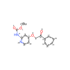 CC(C)(C)OC(=O)Nc1cc(OCC(=O)c2ccccc2)ccn1